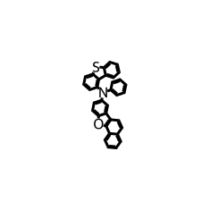 c1ccc(N(c2ccc3oc4c5ccccc5ccc4c3c2)c2cccc3sc4ccccc4c23)cc1